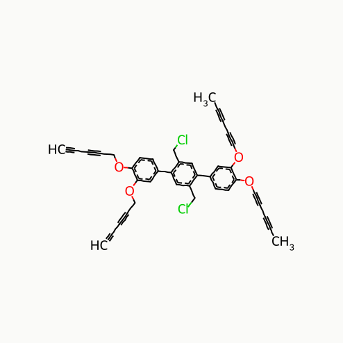 C#CC#CCOc1ccc(-c2cc(CCl)c(-c3ccc(OC#CC#CC)c(OC#CC#CC)c3)cc2CCl)cc1OCC#CC#C